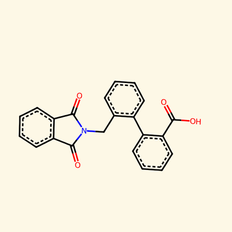 O=C(O)c1ccccc1-c1ccccc1CN1C(=O)c2ccccc2C1=O